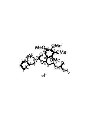 CC[n+]1ccccc1CN(C(C)=O)C(=O)OC(CCOC(N)=O)c1cc(OC)c(OC)c(OC)c1OC.[I-]